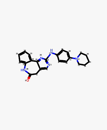 O=C1Cc2cnc(Nc3ccc(N4CCCCC4)cc3)nc2-c2ccccc2N1